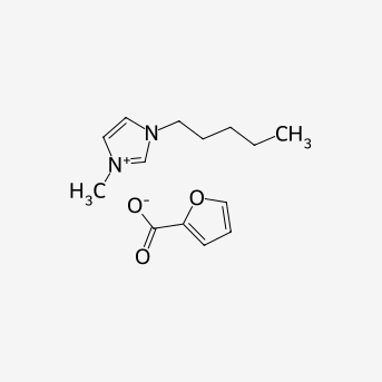 CCCCCn1cc[n+](C)c1.O=C([O-])c1ccco1